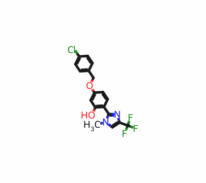 Cn1cc(C(F)(F)F)nc1-c1ccc(OCc2ccc(Cl)cc2)cc1O